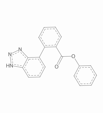 O=C(Oc1ccccc1)c1ccccc1-c1cccc2[nH]nnc12